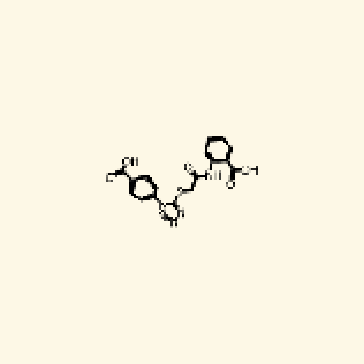 O=C(CSc1nnnn1-c1ccc(C(=O)O)cc1)Nc1ccccc1C(=O)O